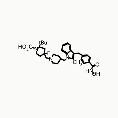 Cc1c(Cc2ccc(C(=O)NO)cc2)c2ccccc2n1CC1CCN(CC2(F)CCN(C(=O)O)C(C(C)(C)C)C2)CC1